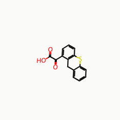 O=C(O)C(=O)c1cccc2c1Cc1ccccc1S2